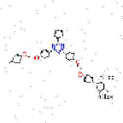 CCCCCCc1cc(-c2ccc(OCCOc3ccc(-c4nc(-c5ccc(C)cc5)nc(-c5ccc(OCCOc6ccc(C)cc6)cc5)n4)cc3)cc2)c(CCCCCC)cc1C